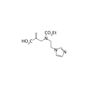 C=C(CN(CCn1ccnc1)C(=O)OCC)C(=O)O